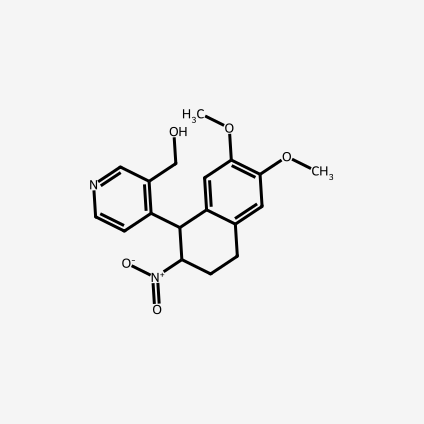 COc1cc2c(cc1OC)C(c1ccncc1CO)C([N+](=O)[O-])CC2